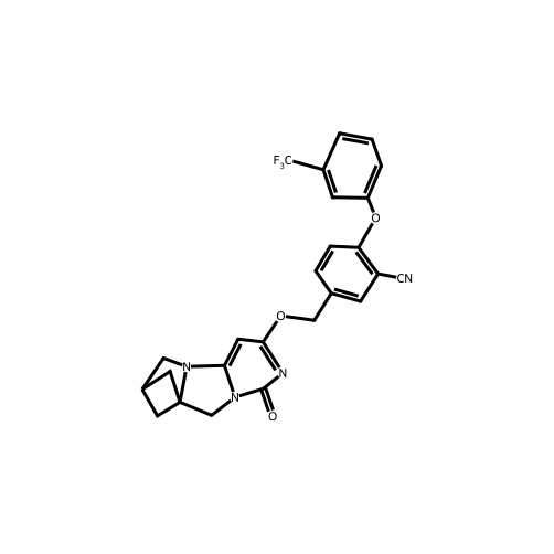 N#Cc1cc(COc2cc3n(c(=O)n2)CC24CC(CN32)C4)ccc1Oc1cccc(C(F)(F)F)c1